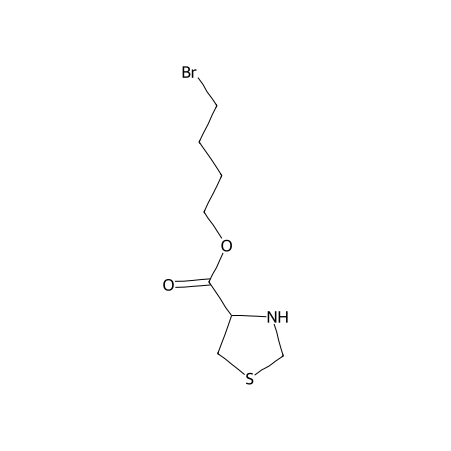 O=C(OCCCCBr)C1CSCN1